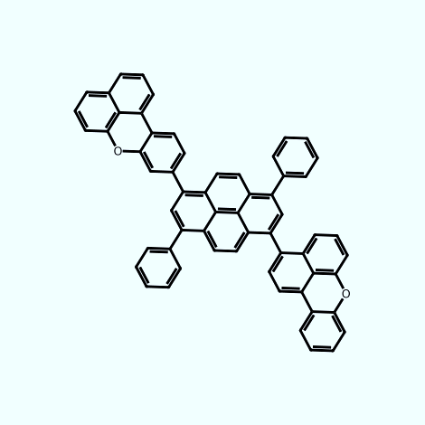 c1ccc(-c2cc(-c3ccc4c(c3)Oc3cccc5cccc-4c35)c3ccc4c(-c5ccccc5)cc(-c5ccc6c7c(cccc57)Oc5ccccc5-6)c5ccc2c3c45)cc1